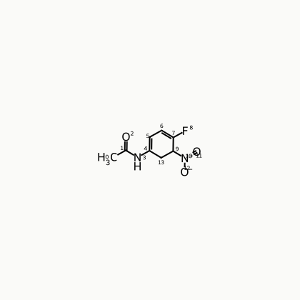 CC(=O)NC1=CC=C(F)C([N+](=O)[O-])C1